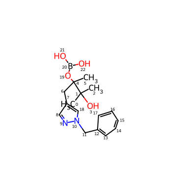 CC(C)(O)C(C)(Cc1cnn(Cc2ccccc2)c1)OB(O)O